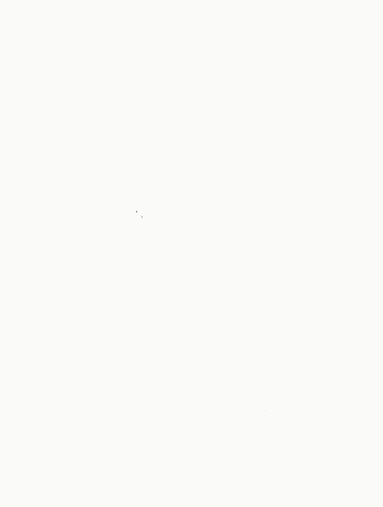 c1ccc2c(c1)Sc1ccc(-c3ccc(-n4c5cc6ccccc6cc5c5ccc6ccccc6c54)cc3)c3cccc-2c13